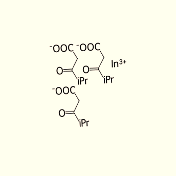 CC(C)C(=O)CC(=O)[O-].CC(C)C(=O)CC(=O)[O-].CC(C)C(=O)CC(=O)[O-].[In+3]